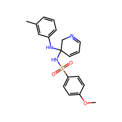 COc1ccc(S(=O)(=O)NC2(Nc3cccc(C)c3)C=CC=NC2)cc1